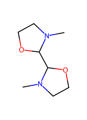 CN1CCOC1C1OCCN1C